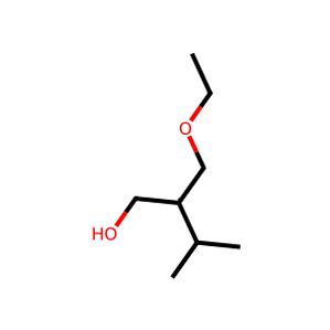 CCOC[C](CO)C(C)C